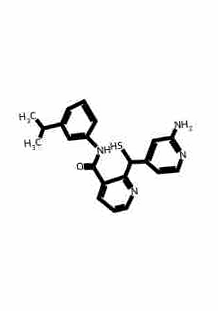 CC(C)c1cccc(NC(=O)c2cccnc2C(S)c2ccnc(N)c2)c1